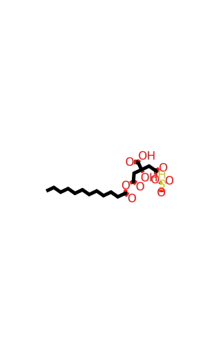 CCCCCCCCCCCC(=O)OC(=O)CC(O)(CC(=O)O[SH](=O)=O)C(=O)O